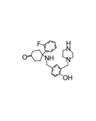 O=C1CCC(NCc2ccc(O)c(CN3CCNCC3)c2)(c2ccccc2F)CC1